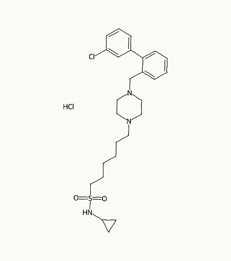 Cl.O=S(=O)(CCCCCCN1CCN(Cc2ccccc2-c2cccc(Cl)c2)CC1)NC1CC1